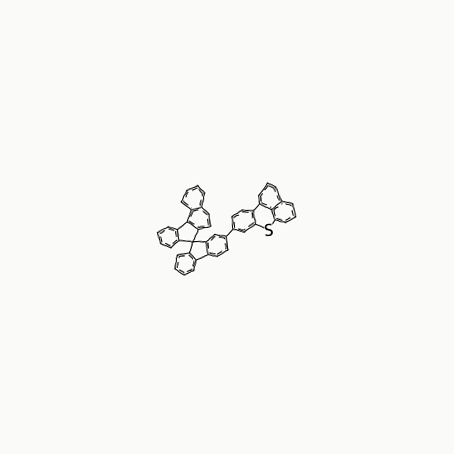 c1ccc2c(c1)-c1ccc(-c3ccc4c(c3)Sc3cccc5cccc-4c35)cc1C21c2ccccc2-c2c1ccc1ccccc21